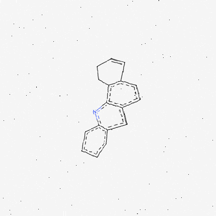 C1=Cc2ccc3cc4ccccc4nc3c2CC1